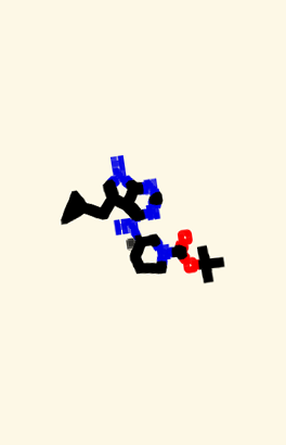 CC(C)(C)OC(=O)N1CCC[C@@H](Nc2ncnc3[nH]cc(CC4CC4)c23)C1